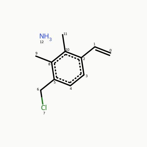 C=Cc1ccc(CCl)c(C)c1C.N